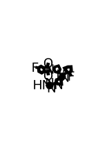 O=C1c2ccc(F)cc2C(=O)N1[C@H]1CCC[C@@H](n2c(-c3ccccc3F)nc3cnc(-c4nc[nH]n4)cc32)C1